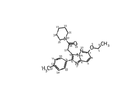 CCOc1ccc2nc(-c3ccc(C)cc3)c(CC(=O)N3CCCCC3)n2n1